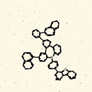 c1ccc(-c2ccc3ccccc3c2)c(-c2ccc3c(c2)-c2cc(-c4cccc5ccccc45)ccc2N(c2ccc(-c4cccc5c4oc4ccccc45)cc2)c2ccccc2-3)c1